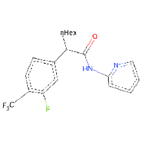 CCCCCCC(C(=O)Nc1ccccn1)c1ccc(C(F)(F)F)c(F)c1